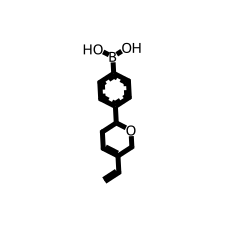 C=CC1=CCC(c2ccc(B(O)O)cc2)OC1